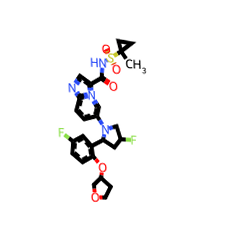 CC1(S(=O)(=O)NC(=O)c2cnc3ccc(N4CC(F)CC4c4cc(F)ccc4OC4CCOC4)cn23)CC1